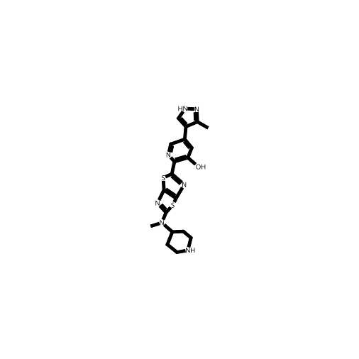 Cc1n[nH]cc1-c1cnc(-c2nc3sc(N(C)C4CCNCC4)nc3s2)c(O)c1